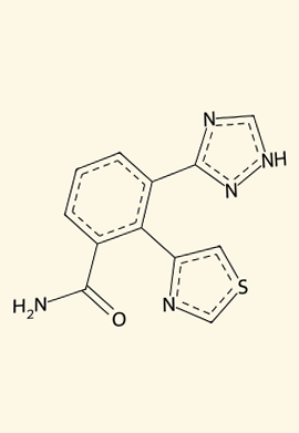 NC(=O)c1cccc(-c2nc[nH]n2)c1-c1cscn1